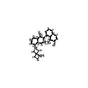 Fc1ccc2cccc(-c3ncc4c(N5CC6(CCN6)C5)cncc4c3F)c2c1Cl